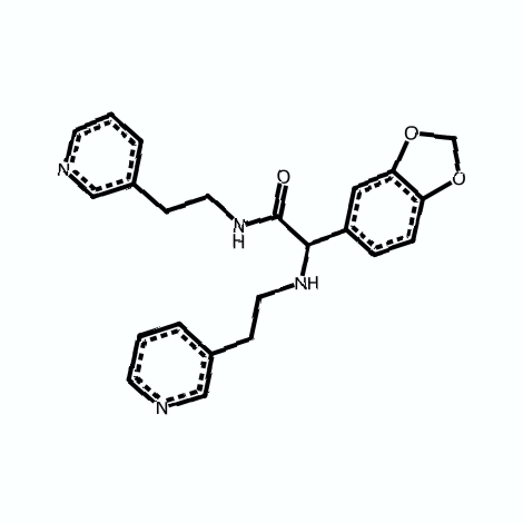 O=C(NCCc1cccnc1)C(NCCc1cccnc1)c1ccc2c(c1)OCO2